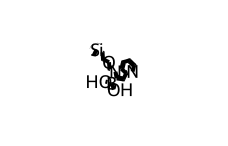 C[Si](C)(C)CCOCn1c(B(O)O)cc2ncccc21